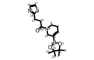 CC1(C)OB(C2=CCCN(C(=O)CCc3nccs3)C2)OC1(C)C